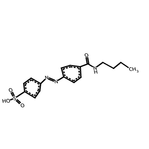 CCCCNC(=O)c1ccc(/N=N/c2ccc(S(=O)(=O)O)cc2)cc1